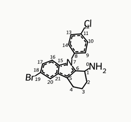 NC1CCCc2c1n(-c1ccc(Cl)cc1)c1ccc(Br)cc21